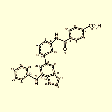 O=C(O)c1ccc(C(=O)Nc2cccc(-c3cn4ccnc4c(Nc4ccccc4)n3)c2)cc1